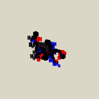 CC[C@H](C)[C@@H]([C@@H](CC(=O)N1CCC[C@H]1[C@H](OC)[C@@H](C)C(=O)N[C@H](C)[C@@H](O)c1ccccc1)OC)N(C)C(=O)[C@@H](NC(=O)[C@H](C(C)C)N(C)C(=O)OCc1ccc(NC(=O)[C@H](CCCNC(N)=O)NC(=O)[C@@H](Cc2c[nH]c3ccccc23)NC(=O)CCCC(=O)ON2C(=O)CCC2=O)cc1)C(C)C